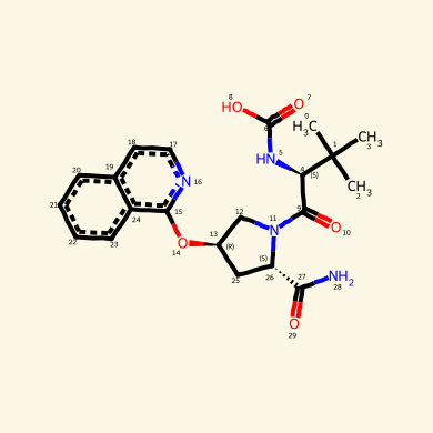 CC(C)(C)[C@H](NC(=O)O)C(=O)N1C[C@H](Oc2nccc3ccccc23)C[C@H]1C(N)=O